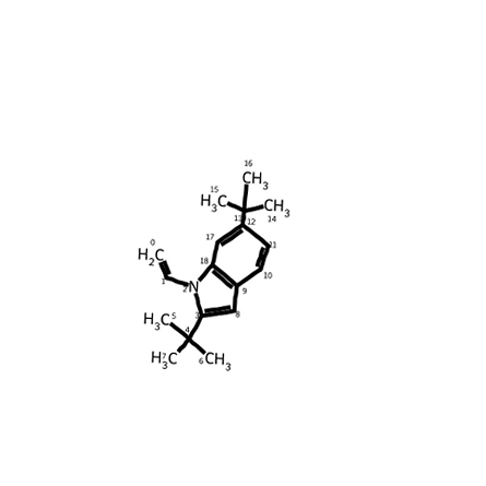 C=Cn1c(C(C)(C)C)cc2ccc(C(C)(C)C)cc21